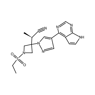 CCS(=O)(=O)N1CC([C@@H](C)C#N)(n2cc(-c3ncnc4[nH]ccc34)cn2)C1